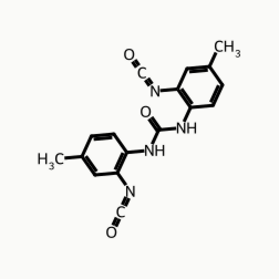 Cc1ccc(NC(=O)Nc2ccc(C)cc2N=C=O)c(N=C=O)c1